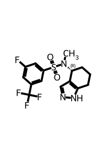 CN([C@@H]1CCCc2[nH]ncc21)S(=O)(=O)c1cc(F)cc(C(F)(F)F)c1